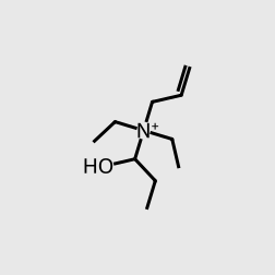 C=CC[N+](CC)(CC)C(O)CC